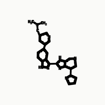 CN(C)Cc1cncc(-c2ccc3[nH]nc(-c4nc5c(-c6cccs6)cncc5[nH]4)c3c2)c1